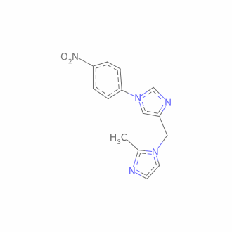 Cc1nccn1Cc1cn(-c2ccc([N+](=O)[O-])cc2)cn1